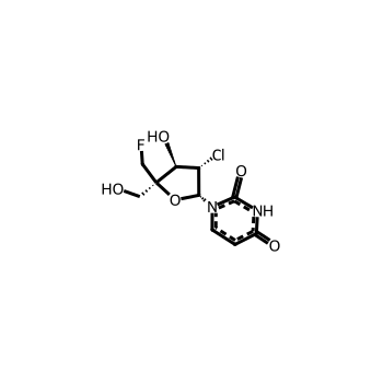 O=c1ccn([C@@H]2O[C@@](CO)(CF)[C@@H](O)[C@@H]2Cl)c(=O)[nH]1